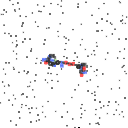 CN1CC2(CNC(=O)c3c2[nH]c2c3CCc3cnc(-c4ccc(CNCCOCCOCCOCCc5ccc6c(c5)n(C)c(=O)n6C5CCC(=O)NC5=O)cc4F)cc3-2)C1